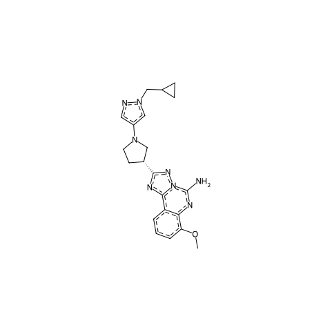 COc1cccc2c1nc(N)n1nc([C@@H]3CCN(c4cnn(CC5CC5)c4)C3)nc21